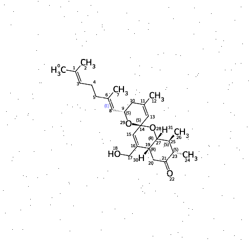 CC(C)=CCC/C(C)=C/[C@@H]1CC(C)=C[C@]2(C=C(CO)[C@H]3CC(=O)[C@@H](C)[C@H](C)[C@H]3O2)O1